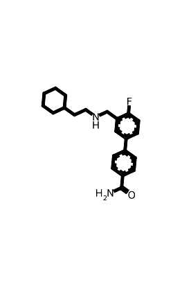 NC(=O)c1ccc(-c2ccc(F)c(CNCCC3CCCCC3)c2)cc1